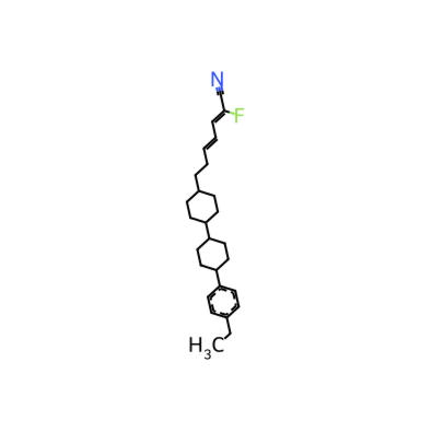 CCc1ccc(C2CCC(C3CCC(CCC=CC=C(F)C#N)CC3)CC2)cc1